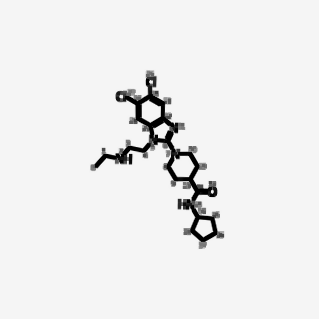 CCNCCn1c(N2CCC(C(=O)NC3CCCC3)CC2)nc2cc(Cl)c(Cl)cc21